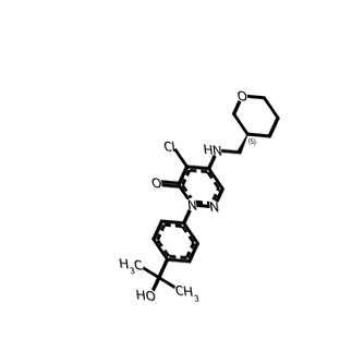 CC(C)(O)c1ccc(-n2ncc(NC[C@@H]3CCCOC3)c(Cl)c2=O)cc1